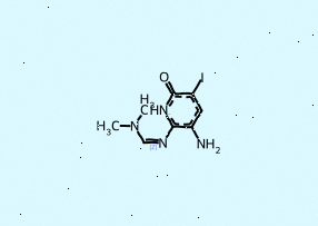 CN(C)/C=N\c1[nH]c(=O)c(I)cc1N